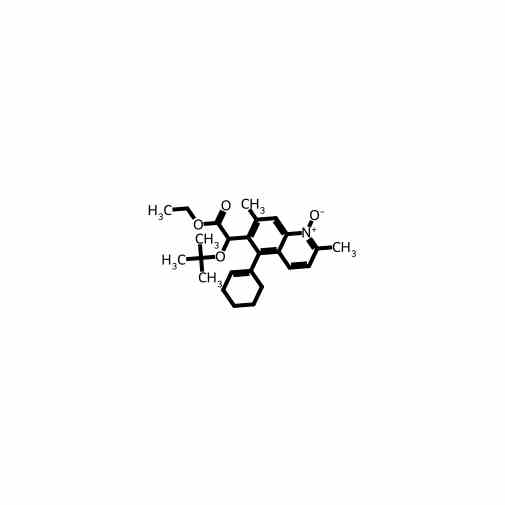 CCOC(=O)C(OC(C)(C)C)c1c(C)cc2c(ccc(C)[n+]2[O-])c1C1=CCCCC1